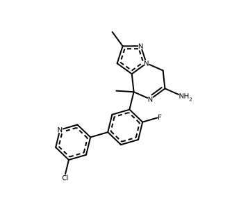 Cc1cc2n(n1)CC(N)=NC2(C)c1cc(-c2cncc(Cl)c2)ccc1F